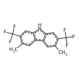 Cc1cc2c(cc1C(F)(F)F)[nH]c1cc(C(F)(F)F)c(C)cc12